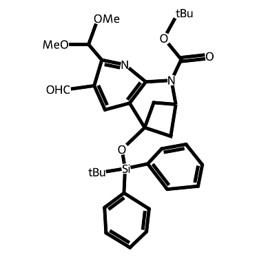 COC(OC)c1nc2c(cc1C=O)C1(O[Si](c3ccccc3)(c3ccccc3)C(C)(C)C)CC(C1)N2C(=O)OC(C)(C)C